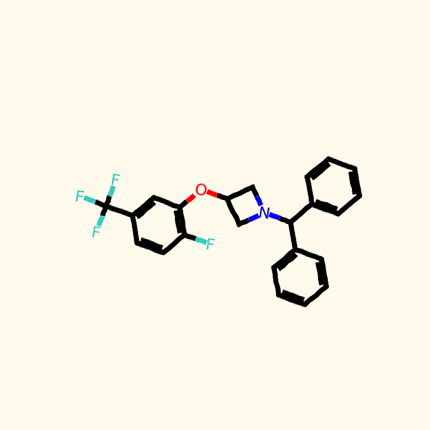 Fc1ccc(C(F)(F)F)cc1OC1CN(C(c2ccccc2)c2ccccc2)C1